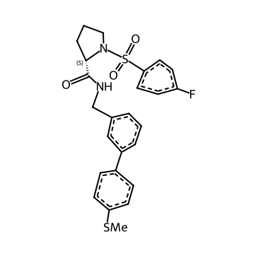 CSc1ccc(-c2cccc(CNC(=O)[C@@H]3CCCN3S(=O)(=O)c3ccc(F)cc3)c2)cc1